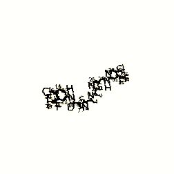 C/C(=N\C(C)c1ncc(C(=O)Nc2ccc(Cl)c(C(F)(F)F)c2)s1)c1ncc(CNc2cc(C(F)(F)F)c(Cl)cn2)s1